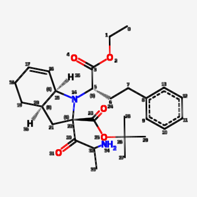 CCOC(=O)[C@H](CCc1ccccc1)N1[C@@H]2C=CCC[C@@H]2C[C@@]1(C(=O)OC(C)(C)C)C(=O)C(C)N